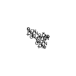 CC1(C)CC(N2CCCC2)=C(C#N)/C(=C(\C#N)C(=O)OCC(COC(=O)/C(C#N)=C2\CC(C)(C)CC(N3CCCC3)=C2C#N)COC(=O)C(C#N)C2CC(C)(C)CC(N3CCCC3)=C2C#N)C1